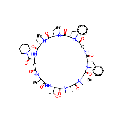 CC[C@H](C)[C@H]1C(=O)N(C)[C@@H](Cc2ccccc2)C(=O)NCC(=O)N(C)[C@@H](Cc2ccccc2)C(=O)N(C)[C@@H](CC(C)C)C(=O)N(C)[C@@H](CC(C)C)C(=O)N[C@H](C(=O)N2CCCCC2)CC(=O)N[C@H](C(C)C)C(=O)N[C@@H]([C@@H](C)O)C(=O)N(C)[C@@H](C)C(=O)N1C